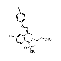 CC(=NOc1ccc(F)cc1)c1cc(Cl)ccc1N(OCCC=O)S(=O)(=O)C(F)(F)F